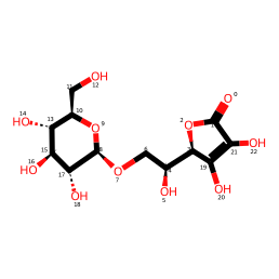 O=C1O[C@H]([C@@H](O)CO[C@@H]2O[C@H](CO)[C@@H](O)[C@H](O)[C@H]2O)C(O)=C1O